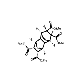 COC(=O)[C@@H]1[C@H](C(=O)OC)[C@@H]2C=C[C@H]1C1C2[C@@H]2C[C@H]1[C@@H](C(=O)OC)[C@H]2C(=O)OC